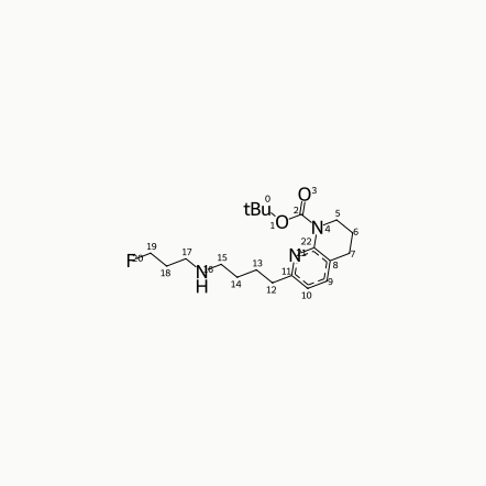 CC(C)(C)OC(=O)N1CCCc2ccc(CCCCNCCCF)nc21